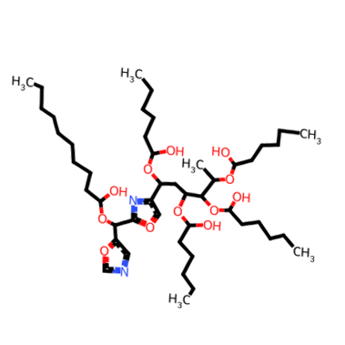 CCCCCCCCCC(O)OC(c1cnco1)c1nc(C(CC(OC(O)CCCCC)C(OC(O)CCCCC)C(C)OC(O)CCCCC)OC(O)CCCCC)co1